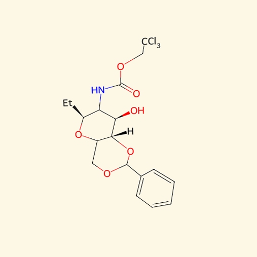 CC[C@@H]1OC2COC(c3ccccc3)O[C@H]2[C@H](O)C1NC(=O)OCC(Cl)(Cl)Cl